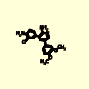 COc1ccc(-c2cnc(N)c(-c3ccc(N)c(Cl)c3)c2)cc1OC